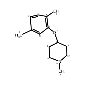 Cc1ccc(C)c(OC2CCN(C)CC2)c1